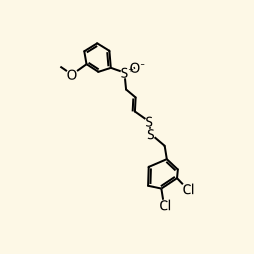 COc1cccc([S+]([O-])CC=CSSCc2ccc(Cl)c(Cl)c2)c1